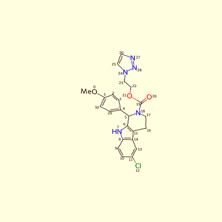 COc1ccc(C2c3[nH]c4ccc(Cl)cc4c3CCN2C(=O)OCCn2ccnn2)cc1